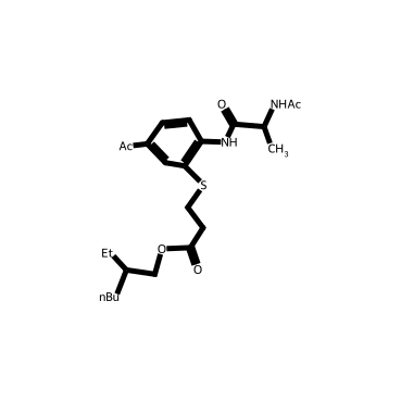 CCCCC(CC)COC(=O)CCSc1cc(C(C)=O)ccc1NC(=O)C(C)NC(C)=O